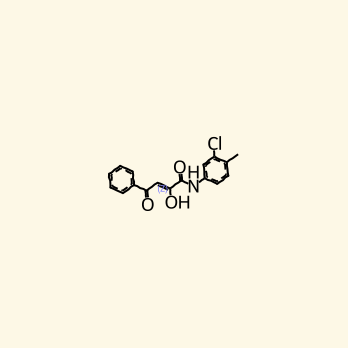 Cc1ccc(NC(=O)/C(O)=C/C(=O)c2ccccc2)cc1Cl